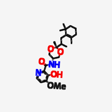 COc1ccnc(C(=O)N[C@H]2CO[C@@](C)(C(C)CC3=C(C)CCCC3(C)C)OC2)c1O